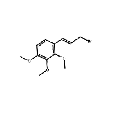 COc1ccc(C=CCBr)c(OC)c1OC